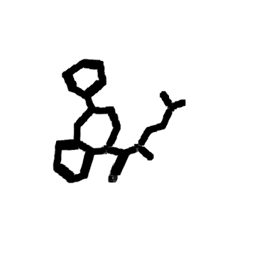 CN(C)CCN(C)C(=O)N1CCC(c2ccccc2)Cc2ccccc21